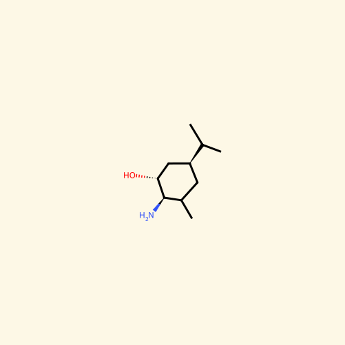 CC(C)[C@H]1CC(C)[C@@H](N)[C@H](O)C1